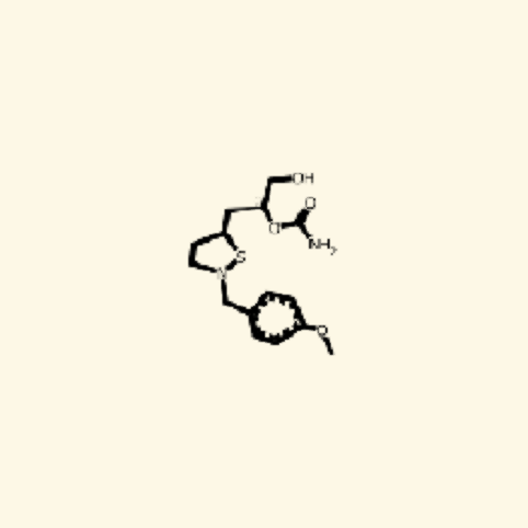 COc1ccc(CN2CCC(C[C@@H](CO)OC(N)=O)S2)cc1